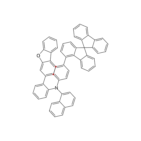 c1ccc(N(c2ccc(-c3cccc4c3-c3ccccc3C43c4ccccc4-c4ccccc43)cc2)c2cccc3ccccc23)c(-c2ccc3c(c2)oc2ccccc23)c1